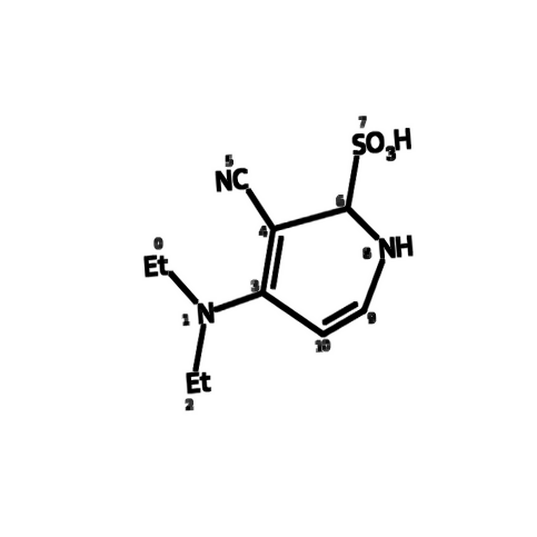 CCN(CC)C1=C(C#N)C(S(=O)(=O)O)NC=C1